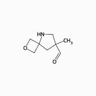 CC1(C=O)CNC2(COC2)C1